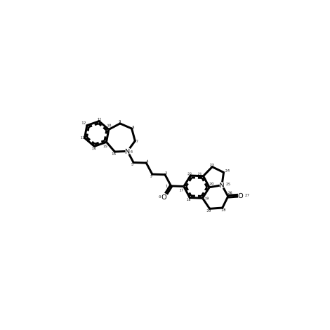 O=C(CCCCN1CCCc2ccccc2C1)c1cc2c3c(c1)CCN3C(=O)CC2